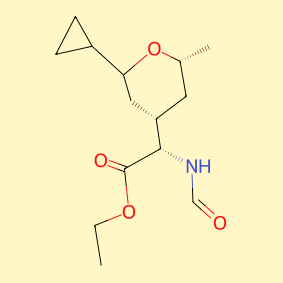 CCOC(=O)[C@@H](NC=O)[C@@H]1CC(C2CC2)O[C@H](C)C1